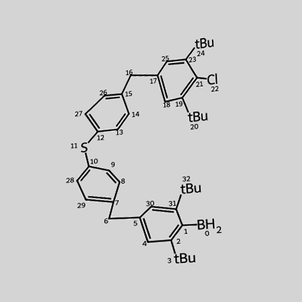 Bc1c(C(C)(C)C)cc(Cc2ccc(Sc3ccc(Cc4cc(C(C)(C)C)c(Cl)c(C(C)(C)C)c4)cc3)cc2)cc1C(C)(C)C